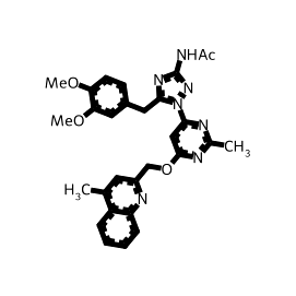 COc1ccc(Cc2nc(NC(C)=O)nn2-c2cc(OCc3cc(C)c4ccccc4n3)nc(C)n2)cc1OC